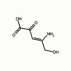 NC(=CC(=O)C(=O)O)CO